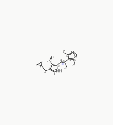 C=Nc1c(CC2CC2)c[nH]c1/C=C(\C)c1c(C)noc1C